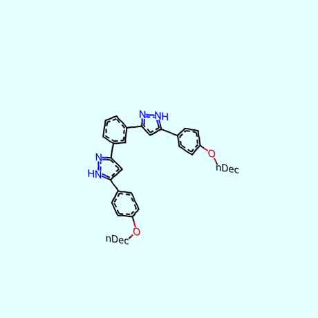 CCCCCCCCCCOc1ccc(-c2cc(-c3cccc(-c4cc(-c5ccc(OCCCCCCCCCC)cc5)[nH]n4)c3)n[nH]2)cc1